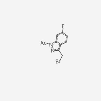 CC(=O)n1nc(CBr)c2ccc(F)cc21